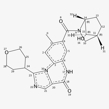 Cc1cc2c(cc1C(=O)N1C[C@H]3CC[C@@H]1[C@@H]3O)[nH]c(=O)c1cnc(C3CCOCC3)n12